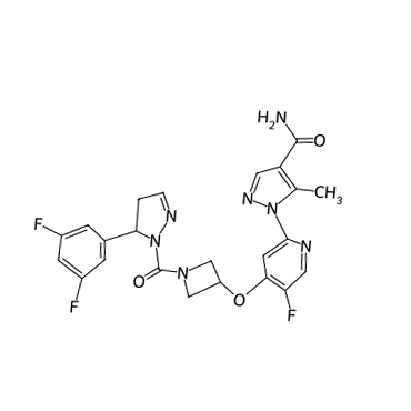 Cc1c(C(N)=O)cnn1-c1cc(OC2CN(C(=O)N3N=CCC3c3cc(F)cc(F)c3)C2)c(F)cn1